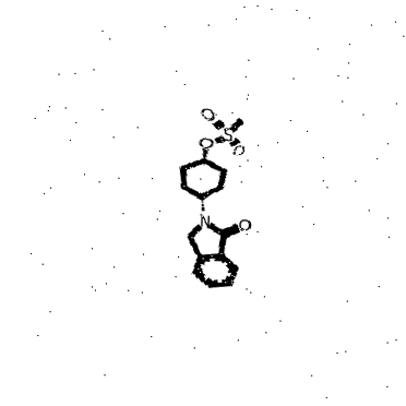 CS(=O)(=O)O[C@H]1CC[C@H](N2Cc3ccccc3C2=O)CC1